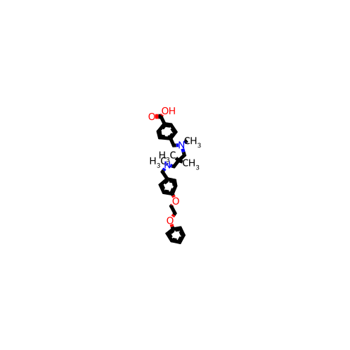 CN(Cc1ccc(OCCOc2ccccc2)cc1)CC(C)(C)CN(C)Cc1ccc(C(=O)O)cc1